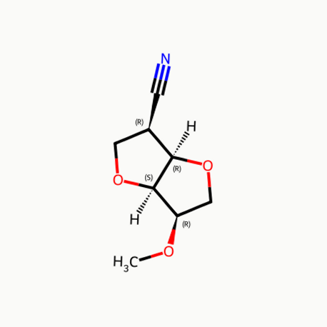 CO[C@@H]1CO[C@H]2[C@@H]1OC[C@H]2C#N